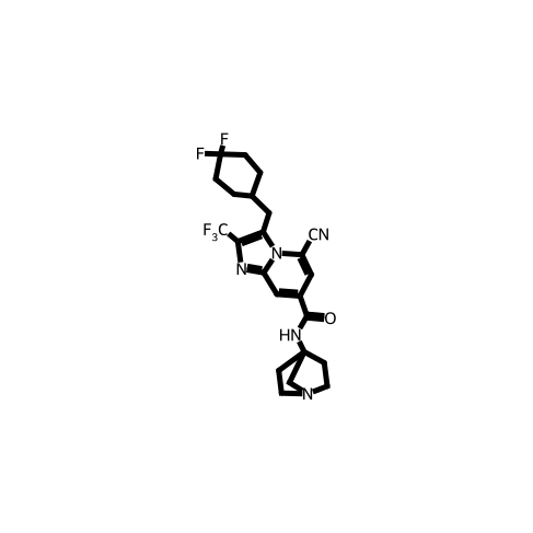 N#Cc1cc(C(=O)NC23CCN(CC2)C3)cc2nc(C(F)(F)F)c(CC3CCC(F)(F)CC3)n12